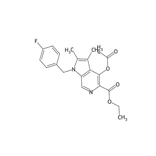 CCOC(=O)c1ncc2c(c(C)c(C)n2Cc2ccc(F)cc2)c1OC(C)=O